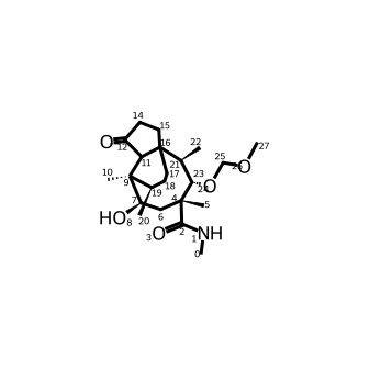 CNC(=O)[C@]1(C)C[C@@H](O)[C@@]2(C)C3C(=O)CCC3(CC[C@H]2C)[C@@H](C)[C@@H]1OCOC